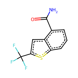 NC(=O)c1cccc2sc(C(F)(F)F)cc12